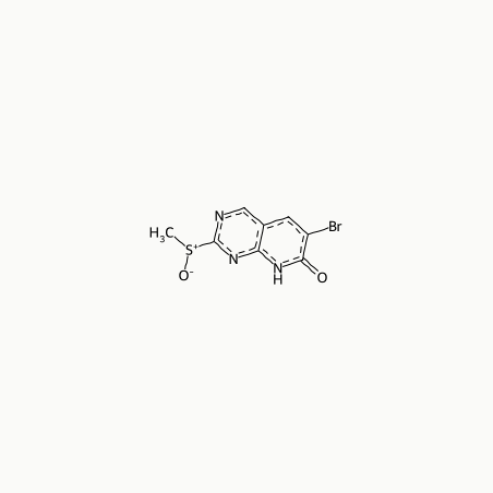 C[S+]([O-])c1ncc2cc(Br)c(=O)[nH]c2n1